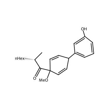 CCCCCC[C@H](C)C(=O)C1(OC)C=CC(c2cccc(O)c2)C=C1